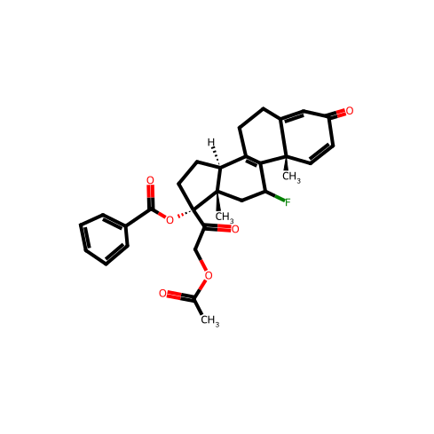 CC(=O)OCC(=O)[C@@]1(OC(=O)c2ccccc2)CC[C@H]2C3=C(C(F)C[C@@]21C)[C@@]1(C)C=CC(=O)C=C1CC3